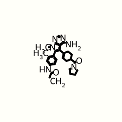 C=CC(=O)Nc1ccc(-c2c(C3=CCC(C(=O)N4CCCC4)CC3)c3c(N)ncnc3n2C)c(C)c1